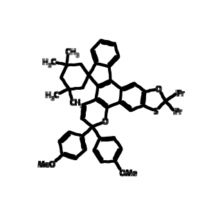 COc1ccc(C2(c3ccc(OC)cc3)C=Cc3c4c(c5cc6c(cc5c3O2)SC(C(C)C)(C(C)C)O6)-c2ccccc2C42CC(C)(C)CC(C)(C)C2)cc1